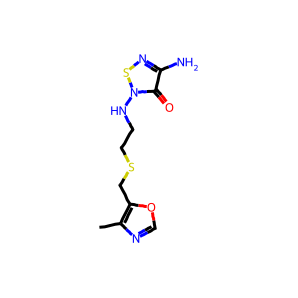 Cc1ncoc1CSCCNn1snc(N)c1=O